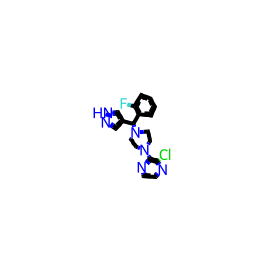 Fc1ccccc1C(c1cn[nH]c1)N1CCN(c2nccnc2Cl)CC1